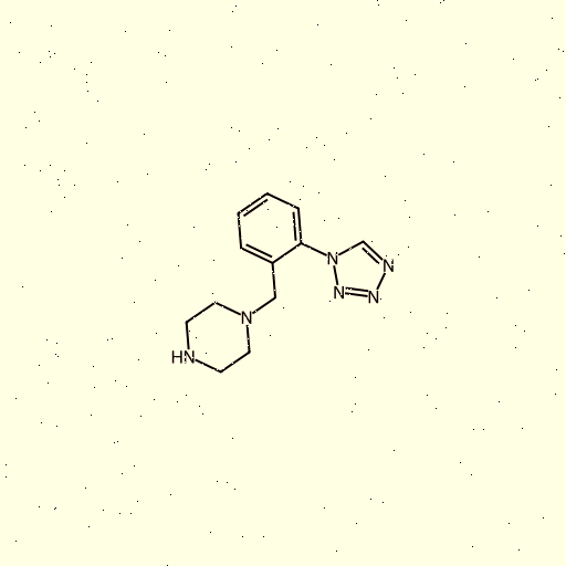 c1ccc(-n2cnnn2)c(CN2CCNCC2)c1